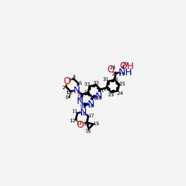 C[C@H]1COCCN1c1nc(N2CCOC3(CC3)C2)nc2nc(-c3cccc(C(=O)NO)c3)ccc12